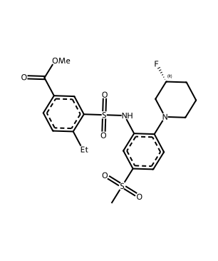 CCc1ccc(C(=O)OC)cc1S(=O)(=O)Nc1cc(S(C)(=O)=O)ccc1N1CCC[C@@H](F)C1